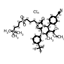 COC(=O)C1=C(C)N(c2cccc(C(F)(F)F)c2)c2nn(CCCS(=O)(=O)CCC[N+](C)(C)C)c(=O)n2C1c1ccc(C#N)cc1.[Cl-]